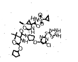 C=C[C@@H]1C[C@]1(NC(=O)[C@@H]1C[C@@H](Oc2cc(Cl)nc(SC3=NNNN3C)n2)CN1C(=O)[C@@H](NC(=O)OC1CCCC1)C(C)(C)C)C(=O)NS(=O)(=O)C1CC1